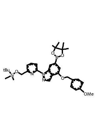 COc1ccc(COc2cc(B3OC(C)(C)C(C)(C)O3)cc3c2cnn3-c2cccc(CO[Si](C)(C)C(C)(C)C)n2)cc1